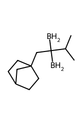 BC(B)(CC12CCC(CC1)C2)C(C)C